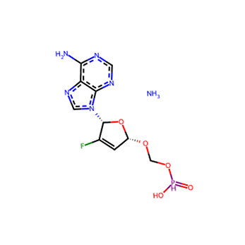 N.Nc1ncnc2c1ncn2[C@@H]1O[C@H](OCO[PH](=O)O)C=C1F